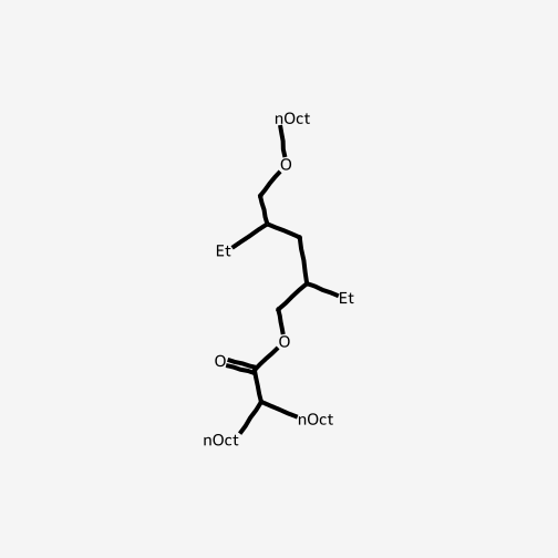 CCCCCCCCOCC(CC)CC(CC)COC(=O)C(CCCCCCCC)CCCCCCCC